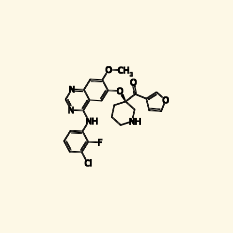 COc1cc2ncnc(Nc3cccc(Cl)c3F)c2cc1O[C@]1(C(=O)c2ccoc2)CCCNC1